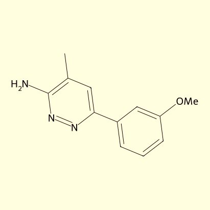 COc1cccc(-c2cc(C)c(N)nn2)c1